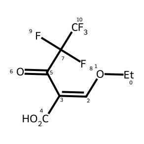 CCO/C=C(/C(=O)O)C(=O)C(F)(F)C(F)(F)F